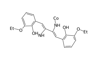 CCOc1cccc(C=C([NH])C(=Cc2cccc(OCC)c2O)[NH][Co])c1O